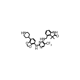 CC1(C)C(=O)Nc2cccc(CNc3nc(Nc4ccc(C5CCNCC5)c5c4OCO5)ncc3C(F)(F)F)c21